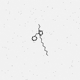 CCCCCCCCCC[n+]1ccn(CCC)c1Cc1ccccc1